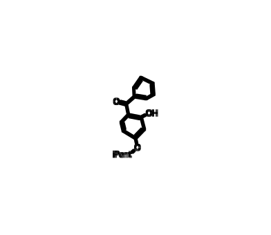 [CH2]CCC(C)Oc1ccc(C(=O)c2ccccc2)c(O)c1